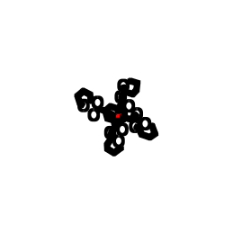 O=C(OC1CCCCO1)C12CC3(C(=O)OC4CCCCO4)CC(C(=O)OC4CCCCO4)(C1)CC(C(=O)OC1CCCCO1)(C2)C3